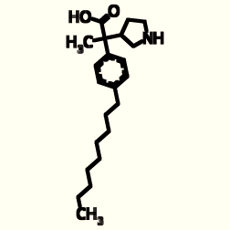 CCCCCCCCCc1ccc(C(C)(C(=O)O)C2CCNC2)cc1